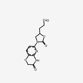 O=CCCC1CN(c2ccc3c(n2)NC(=O)CO3)C(=O)O1